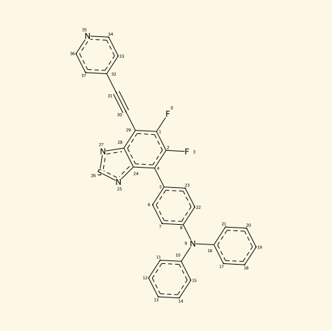 Fc1c(F)c(-c2ccc(N(c3ccccc3)c3ccccc3)cc2)c2nsnc2c1C#Cc1ccncc1